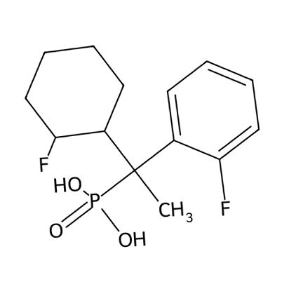 CC(c1ccccc1F)(C1CCCCC1F)P(=O)(O)O